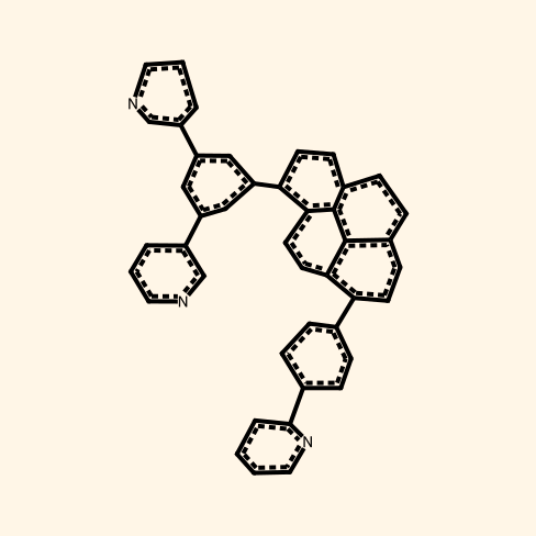 c1ccc(-c2ccc(-c3ccc4ccc5ccc(-c6cc(-c7cccnc7)cc(-c7cccnc7)c6)c6ccc3c4c56)cc2)nc1